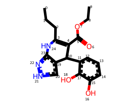 CCCC1=C(C(=O)OCC)C(c2cccc(O)c2O)c2c[nH]nc2N1